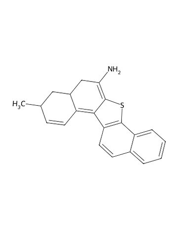 CC1C=CC2=c3c(sc4c3ccc3ccccc34)=C(N)CC2C1